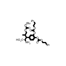 CC(C)CCOC(=O)Oc1ccc(C(C(C)COC(=O)OC(C)(C)C)[C@H](N)C(=O)O)cc1OC(=O)OCCC(C)C